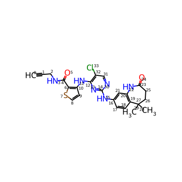 C#CCNC(=O)c1sccc1Nc1nc(Nc2ccc3c(c2)NC(=O)CCC3(C)C)ncc1Cl